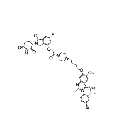 COc1cc2c(N[C@H](C)c3cccc(Br)c3)nc(C)nc2cc1OCCCCN1CCN(C(=O)COc2cc(F)cc3c2CN(C2CCC(=O)NC2=O)C3=O)CC1